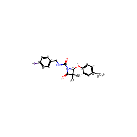 CCC1(CC)C(=O)N(C(=O)NCc2ccc(I)cc2)C1Oc1ccc(C(=O)O)cc1